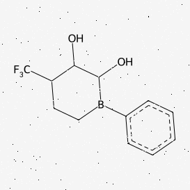 OC1B(c2ccccc2)CCC(C(F)(F)F)C1O